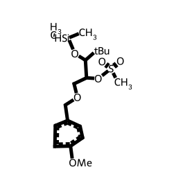 COc1ccc(COCC(OS(C)(=O)=O)C(O[SiH](C)C)C(C)(C)C)cc1